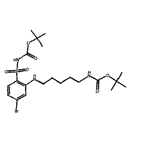 CC(C)(C)OC(=O)NCCCCCNc1cc(Br)ccc1S(=O)(=O)NC(=O)OC(C)(C)C